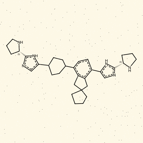 c1nc([C@@H]2CCCN2)[nH]c1-c1ccc(C2CCC(c3cnc([C@@H]4CCCN4)[nH]3)CC2)c2c1CC1(CCCC1)C2